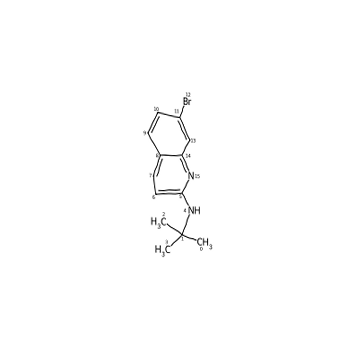 CC(C)(C)Nc1ccc2ccc(Br)cc2n1